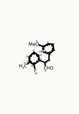 COc1cccc(CC(C=O)c2cccc(C)c2F)n1